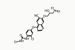 CCNC(=O)Nc1ccc(Oc2ccnc3cc(OC[C@H](O)CN(CC)CC)c(C#N)cc23)cc1Cl